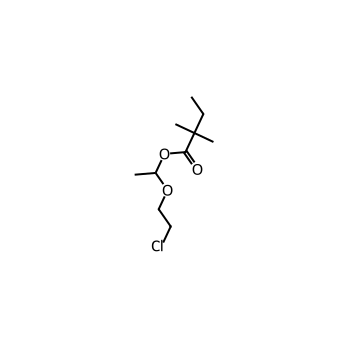 CCC(C)(C)C(=O)OC(C)OCCCl